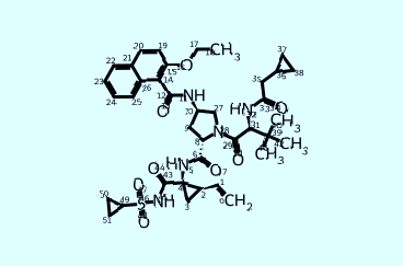 C=C[C@H]1C[C@]1(NC(=O)[C@@H]1C[C@@H](NC(=O)c2c(OCC)ccc3ccccc23)CN1C(=O)[C@@H](NC(=O)CC1CC1)C(C)(C)C)C(=O)NS(=O)(=O)C1CC1